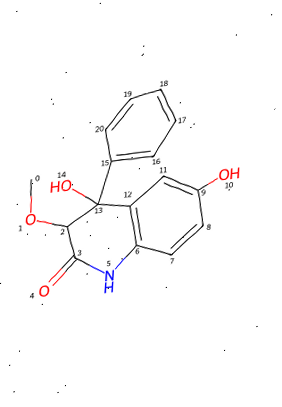 COC1C(=O)Nc2ccc(O)cc2C1(O)c1ccccc1